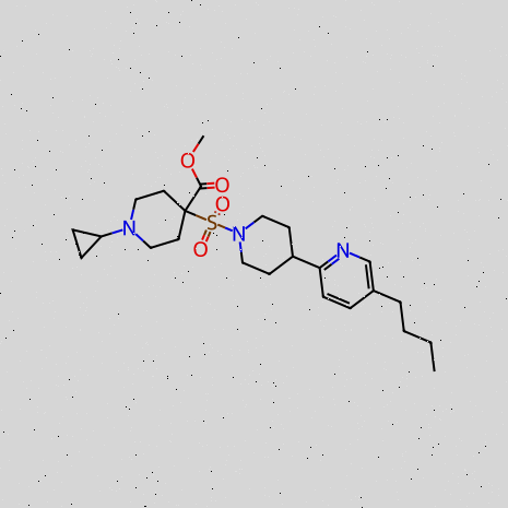 CCCCc1ccc(C2CCN(S(=O)(=O)C3(C(=O)OC)CCN(C4CC4)CC3)CC2)nc1